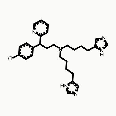 Clc1ccc(C(CCN(CCCCc2cnc[nH]2)CCCCc2cnc[nH]2)c2ccccn2)cc1